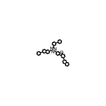 c1ccc(-c2cccc(-c3nc(-c4ccc5cc(-c6ccccc6)ccc5c4)nc(-c4ccc5c(c4)oc4ccc(-c6ccc7ccccc7c6)cc45)n3)c2)cc1